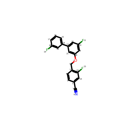 N#Cc1ccc(COc2cc(F)cc(-c3cccc(F)c3)c2)c(F)c1